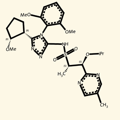 COc1cccc(OC)c1-n1c(NS(=O)(=O)[C@@H](C)[C@@H](OC(C)C)c2ncc(C)cn2)nnc1[C@H]1CCC[C@H]1OC